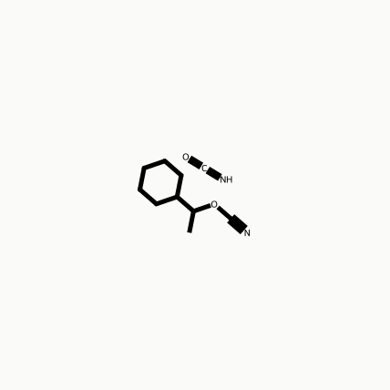 CC(OC#N)C1CCCCC1.N=C=O